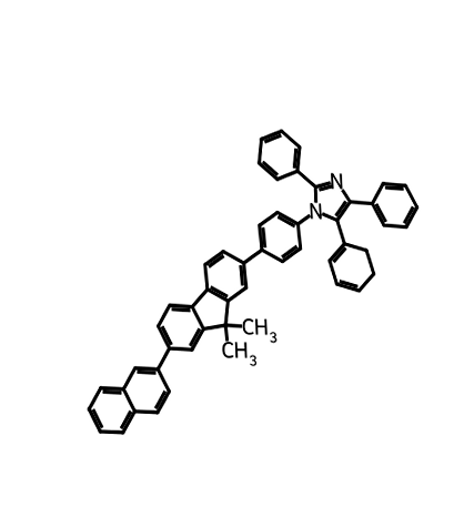 CC1(C)c2cc(-c3ccc(-n4c(-c5ccccc5)nc(-c5ccccc5)c4C4=CC=CCC4)cc3)ccc2-c2ccc(-c3ccc4ccccc4c3)cc21